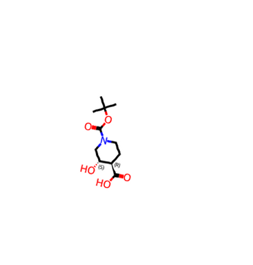 CC(C)(C)OC(=O)N1CC[C@@H](C(=O)O)[C@H](O)C1